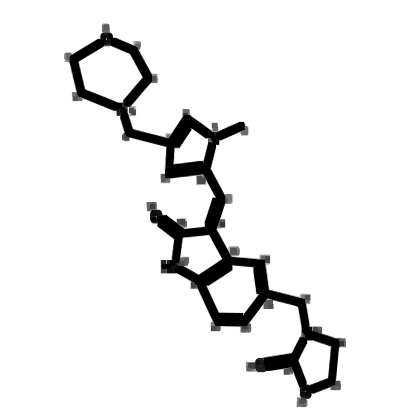 Cn1cc(CN2CCOCC2)cc1/C=C1\C(=O)Nc2ccc(CN3CCOC3=O)cc21